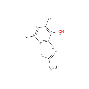 C=C(C)C(=O)O.Cc1cc(C)c(O)c(C)c1